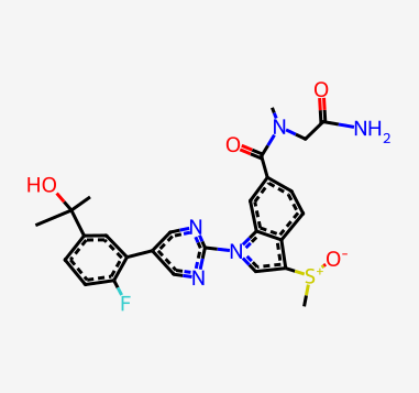 CN(CC(N)=O)C(=O)c1ccc2c([S+](C)[O-])cn(-c3ncc(-c4cc(C(C)(C)O)ccc4F)cn3)c2c1